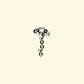 CSc1ccc(OC(F)F)c(-c2nn(CC(=O)N3CCC(N4CCN(CC(=O)N5CCOCC5)CC4)CC3)cc2NC(=O)c2cnn3cccnc23)c1